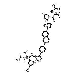 COC(=O)N[C@H](C(=O)N1CC(C)=C[C@H]1c1ncc(-c2ccc3cc(-c4ccc(-c5cnc([C@@H]6C=C(C7CC7)CN6C(=O)[C@@H](NC(=O)OC)C(C)C)[nH]5)cc4)ccc3c2)[nH]1)C(C)C